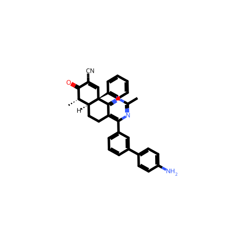 Cc1nc(-c2cccc(-c3ccc(N)cc3)c2)c2c(n1)[C@@]1(c3ccccc3)C=C(C#N)C(=O)[C@@H](C)[C@@H]1CC2